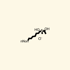 CCCCCCCCCCCCCCCC(O)[N+](C)(C)C(C)O.[Cl-]